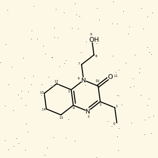 CCc1nc2c(n(CCO)c1=O)CCCC2